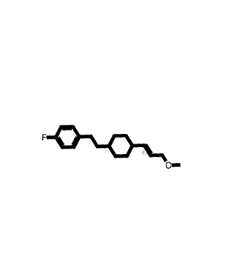 COC/C=C/C1CCC(CCc2ccc(F)cc2)CC1